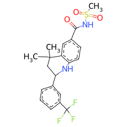 CC1(C)CC(c2cccc(C(F)(F)F)c2)Nc2ccc(C(=O)NS(C)(=O)=O)cc21